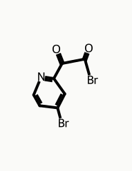 O=C(Br)C(=O)c1cc(Br)ccn1